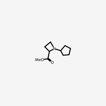 COC(=O)C1CCN1C1CCCC1